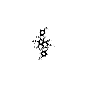 Bc1c(Nc2ccc(C(C)(C)C)cc2)c(B)c2c(B)c(B)c(Nc3ccc(C(C)(C)C)cc3)c(B)c2c1B